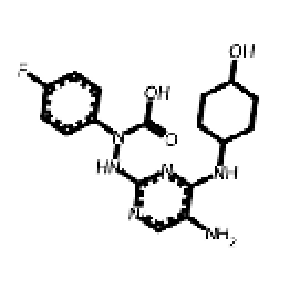 Nc1cnc(NN(C(=O)O)c2ccc(F)cc2)nc1NC1CCC(O)CC1